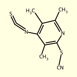 Cc1nc(SC#N)c(C)c(N=C=S)c1C